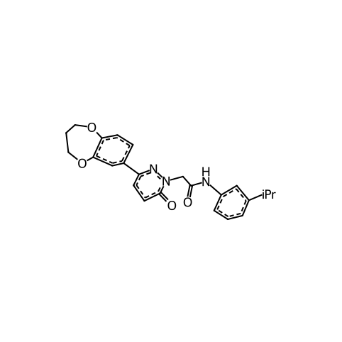 CC(C)c1cccc(NC(=O)Cn2nc(-c3ccc4c(c3)OCCCO4)ccc2=O)c1